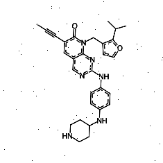 CC#Cc1cc2cnc(Nc3ccc(NC4CCNCC4)cc3)nc2n(Cc2ccoc2C(C)C)c1=O